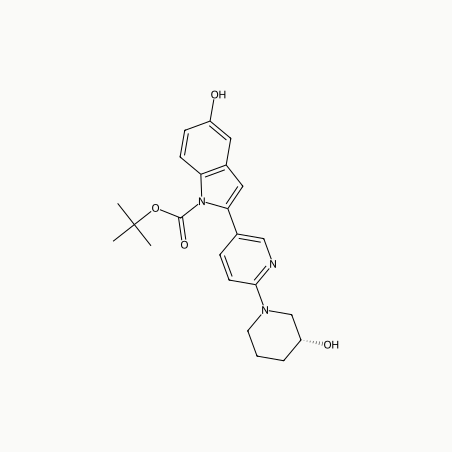 CC(C)(C)OC(=O)n1c(-c2ccc(N3CCC[C@@H](O)C3)nc2)cc2cc(O)ccc21